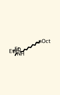 CCCCCCCCC=CCCCCCCCC(=O)NC(C)N(CC)CC